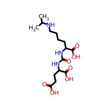 CC(C)NCCCCC(NC(=O)NC(CCC(=O)O)C(=O)O)C(=O)O